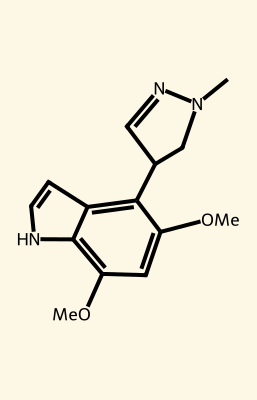 COc1cc(OC)c2[nH]ccc2c1C1C=NN(C)C1